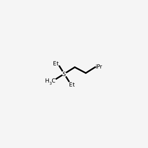 CCS(C)(CC)CCC(C)C